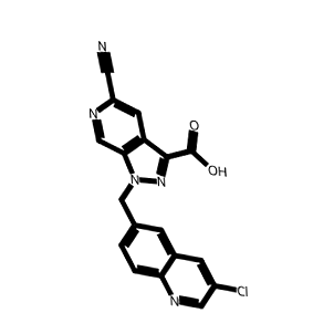 N#Cc1cc2c(C(=O)O)nn(Cc3ccc4ncc(Cl)cc4c3)c2cn1